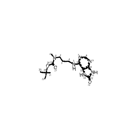 CN(CCCNc1ncnc2[nH]c(=O)[nH]c12)C(=O)OC(C)(C)C